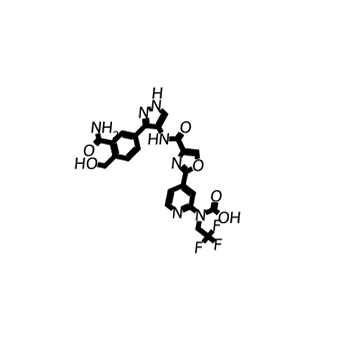 NC(=O)c1cc(-c2n[nH]cc2NC(=O)c2coc(-c3ccnc(N(CC(F)(F)F)C(=O)O)c3)n2)ccc1CO